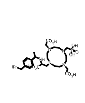 CC(C)Cc1ccc(C(C)NC(CN2CCN(CC(=O)O)CCN(CP(=O)(O)O)CCN(CC(=O)O)CC2)C(=O)O)cc1